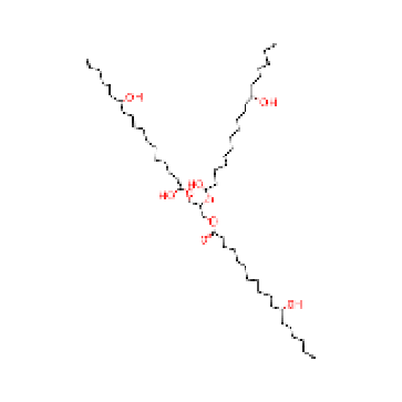 CCCCCCC(O)CCCCCCCCCCC(=O)OCC(COC(O)CCCCCCCCCCC(O)CCCCCC)OC(O)CCCCCCCCCCC(O)CCCCCC